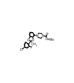 CC(C)(C)OC(=O)N1CCN(c2cccc3c2O[C@@](C)(c2ccc(Cl)cc2F)O3)CC1